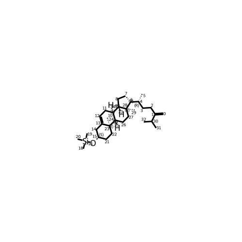 C=C(CC[C@@H](C)[C@H]1CC[C@H]2[C@@H]3CC=C4C[C@@H](O[Si](C)(C)C)CC[C@]4(C)[C@H]3CC[C@]12C)C(C)C